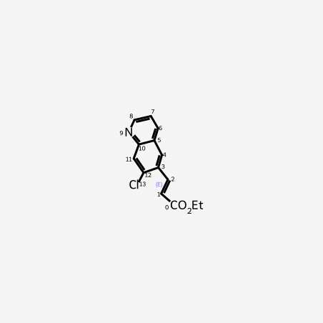 CCOC(=O)/C=C/c1cc2cccnc2cc1Cl